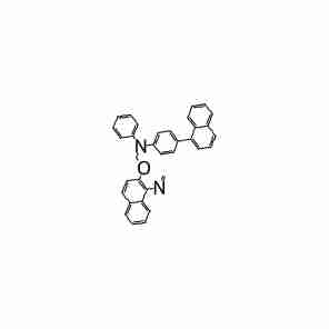 C=Nc1c(OCN(c2ccccc2)c2ccc(-c3cccc4ccccc34)cc2)ccc2ccccc12